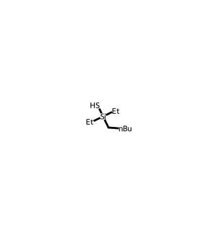 CCCCC[Si](S)(CC)CC